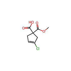 COC(=O)C1(C(=O)O)CC=C(Cl)C1